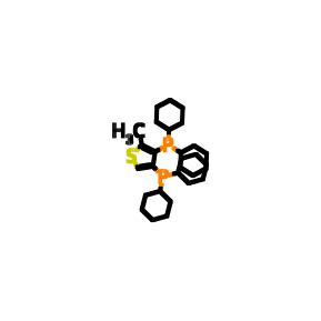 Cc1scc(P(C2CCCCC2)C2CCCCC2)c1P(C1CCCCC1)C1CCCCC1